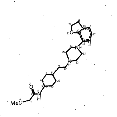 COCC(=O)NC1CCC(CCN2CCN(c3nccc4c3OCC4)CC2)CC1